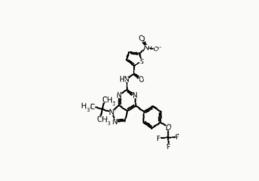 CC(C)(C)n1ncc2c(-c3ccc(OC(F)(F)F)cc3)nc(NC(=O)c3ccc([N+](=O)[O-])s3)nc21